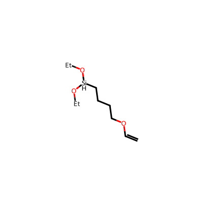 C=COCCCC[SiH](OCC)OCC